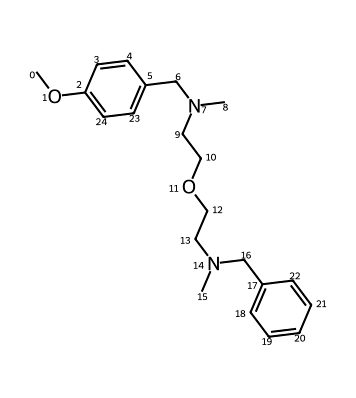 COc1ccc(CN(C)CCOCCN(C)Cc2ccccc2)cc1